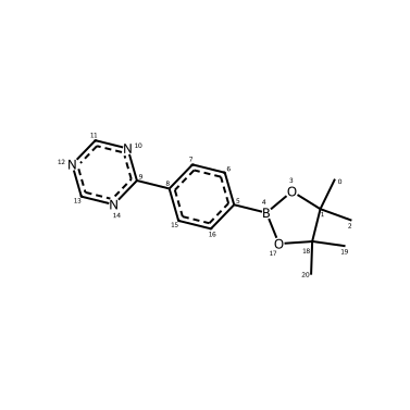 CC1(C)OB(c2ccc(-c3ncncn3)cc2)OC1(C)C